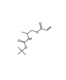 C=CC(=O)OCC(C)NC(=O)OC(C)(C)C